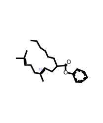 CCCCCCC(C/C=C(\C)CCC=C(C)C)C(=O)Oc1ccccc1